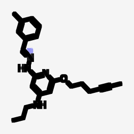 CC#CCCCOc1cc(NCCC)cc(N/N=C/c2cccc(C)c2)n1